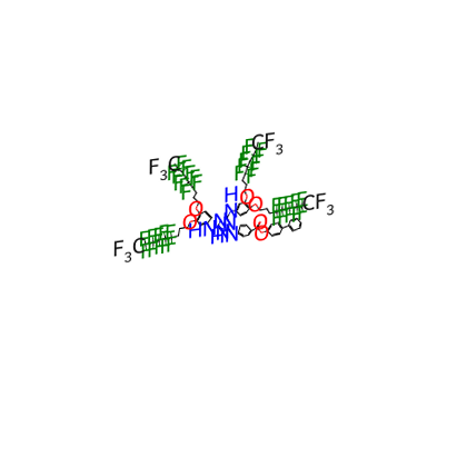 O=C(Oc1ccc(-c2ccccc2)cc1)c1ccc(Nc2nc(Nc3ccc(OCCCC(F)(F)C(F)(F)C(F)(F)C(F)(F)C(F)(F)C(F)(F)F)c(OCCCC(F)(F)C(F)(F)C(F)(F)C(F)(F)C(F)(F)C(F)(F)F)c3)nc(Nc3ccc(OCCCC(F)(F)C(F)(F)C(F)(F)C(F)(F)C(F)(F)C(F)(F)F)c(OCCCC(F)(F)C(F)(F)C(F)(F)C(F)(F)C(F)(F)C(F)(F)F)c3)n2)cc1